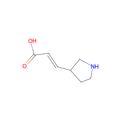 O=C(O)C=CC1CCNC1